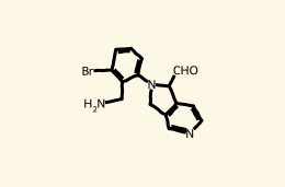 NCc1c(Br)cccc1N1Cc2cnccc2C1C=O